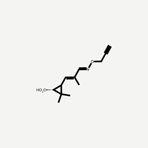 C#CCO/N=C/C(C)=C/C1[C@@H](C(=O)O)C1(C)C